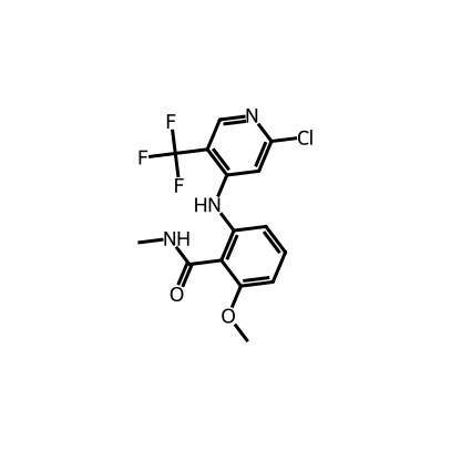 CNC(=O)c1c(Nc2cc(Cl)ncc2C(F)(F)F)cccc1OC